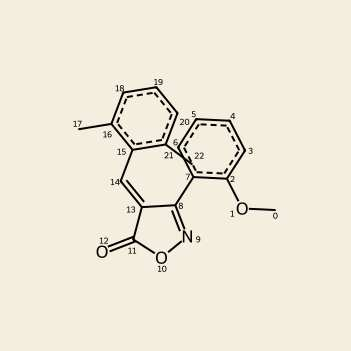 COc1ccccc1C1=NOC(=O)/C1=C/c1c(C)cccc1C